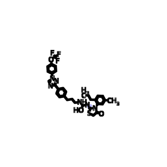 CCCc1ccc(C)cc1N1C(=O)CS/C1=N\C(O)NCCCc1ccc(-c2ncn(-c3ccc(OC(F)(F)F)cc3)n2)cc1